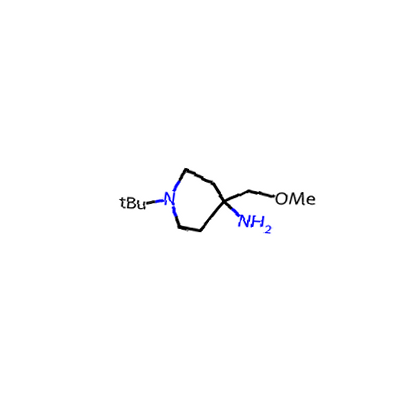 COCC1(N)CCN(C(C)(C)C)CC1